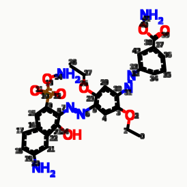 CCOc1cc(N=Nc2c(S(=O)(=O)ON)cc3ccc(N)cc3c2O)c(OCC)cc1N=Nc1cccc(C(=O)ON)c1